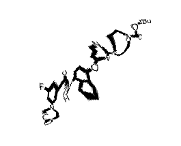 CC(C)(C)OC(=O)N1CCN(c2nccc(Oc3ccc(NC(=O)c4cc(F)cc(N5CCOCC5)c4)c4ccccc34)n2)CC1